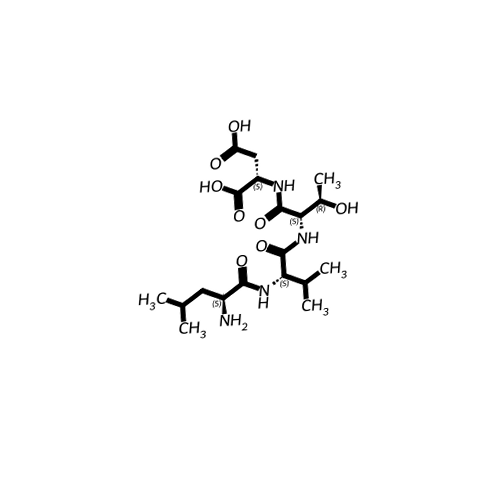 CC(C)C[C@H](N)C(=O)N[C@H](C(=O)N[C@H](C(=O)N[C@@H](CC(=O)O)C(=O)O)[C@@H](C)O)C(C)C